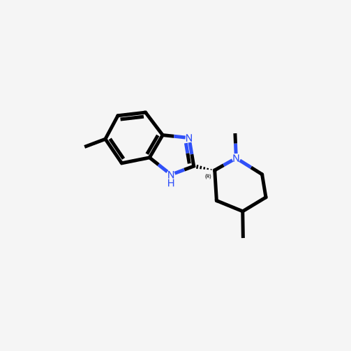 Cc1ccc2nc([C@H]3CC(C)CCN3C)[nH]c2c1